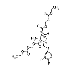 CCOC(=O)OCOC(=O)[C@@H]1C2[C@H]1C[C@@H](CSc1ccc(F)c(F)c1)[C@@]2(N)C(=O)OCOC(=O)OCC